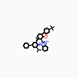 Cc1ccc2c(oc3cc(C(C)(C)C)ccc32)c1-c1n(-c2c(C(C)C)cc(-c3ccccc3)cc2C(C)C)c2ccccc2[n+]1C